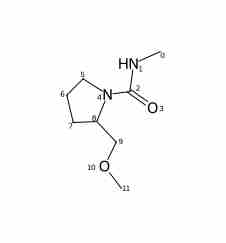 CNC(=O)N1CCCC1COC